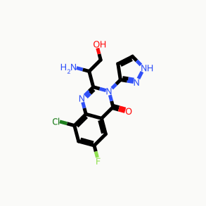 NC(CO)c1nc2c(Cl)cc(F)cc2c(=O)n1-c1cc[nH]n1